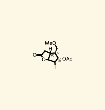 COC[C@H]1[C@H](OC(C)=O)C(I)C2OC(=O)C[C@@H]21